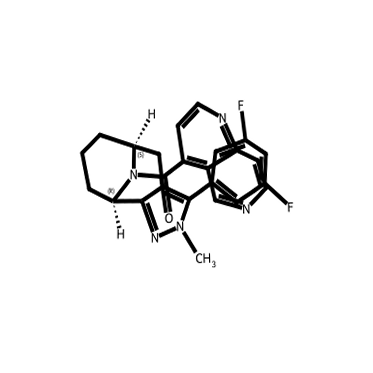 Cn1nc2c(c1-c1cc(F)cc(F)c1)C[C@@H]1CCC[C@H]2N1C(=O)c1ccnc2ccncc12